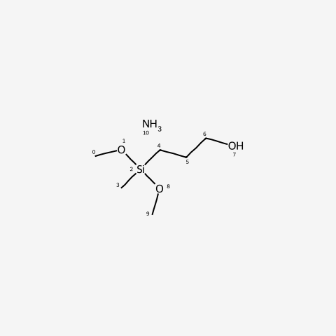 CO[Si](C)(CCCO)OC.N